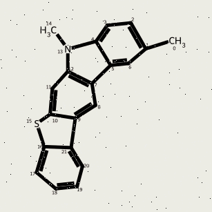 Cc1ccc2c(c1)c1cc3c(cc1n2C)sc1ccccc13